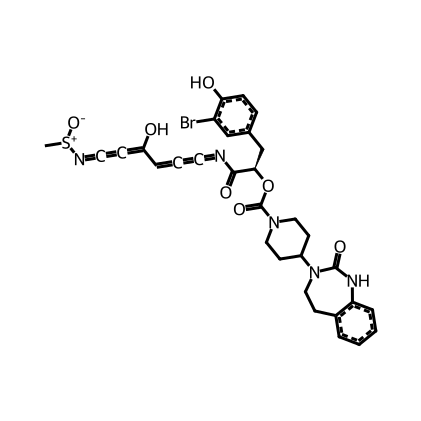 C[S+]([O-])N=C=C=C(O)C=C=C=NC(=O)[C@@H](Cc1ccc(O)c(Br)c1)OC(=O)N1CCC(N2CCc3ccccc3NC2=O)CC1